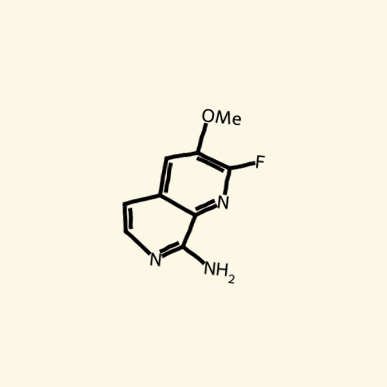 COc1cc2ccnc(N)c2nc1F